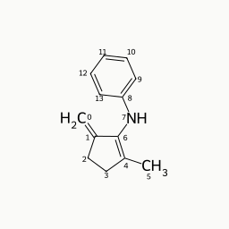 C=C1CCC(C)=C1Nc1ccccc1